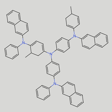 CC1C=CC(N(c2ccc(N(C3=CC=C(N(c4ccccc4)c4ccc5ccccc5c4)C(C)C3)c3ccc(N(c4ccccc4)c4ccc5ccccc5c4)cc3)cc2)c2ccc3ccccc3c2)=CC1